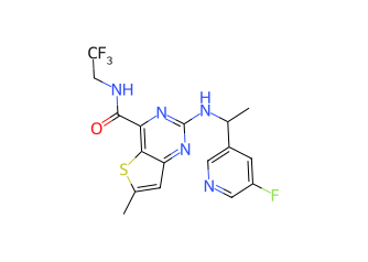 Cc1cc2nc(NC(C)c3cncc(F)c3)nc(C(=O)NCC(F)(F)F)c2s1